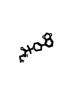 CC(C)CNC(=O)C(C)(C)N1CC=C(c2cccc3c2OCO3)CC1